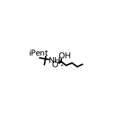 CCCC(C)C(C)(C)N.CCCCC(=O)O